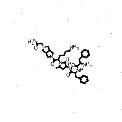 CC1CC(NC(=O)C(Cc2ccccc2)NC(=O)C(N)Cc2ccccc2)C(=O)N1C(CCCCN)C(=O)N1CC2CN(CC(N)=O)CC2C1